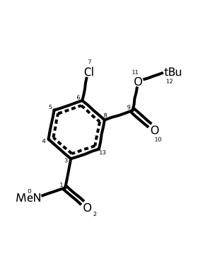 CNC(=O)c1ccc(Cl)c(C(=O)OC(C)(C)C)c1